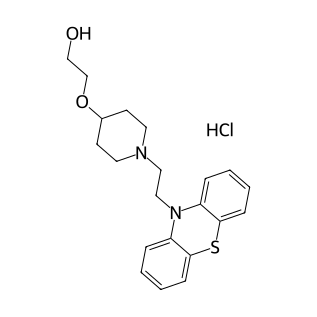 Cl.OCCOC1CCN(CCN2c3ccccc3Sc3ccccc32)CC1